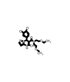 CCOCCN(CCOCC)C(=O)C1=C(C)Nc2ccnn2C1c1ccc(Cl)c(Cl)c1